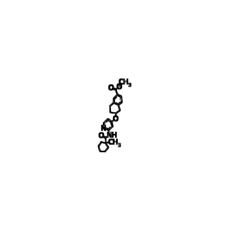 COC(=O)c1ccc2c(c1)CCC(Oc1ccnc(NC(=O)C3(C)CCCCC3)c1)C2